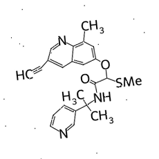 C#Cc1cnc2c(C)cc(OC(SC)C(=O)NC(C)(C)c3cccnc3)cc2c1